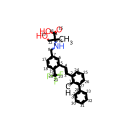 Cc1c(C=Cc2cc(CNC(C)(CO)C(=O)O)ccc2C(F)(F)F)cccc1-c1ccccc1